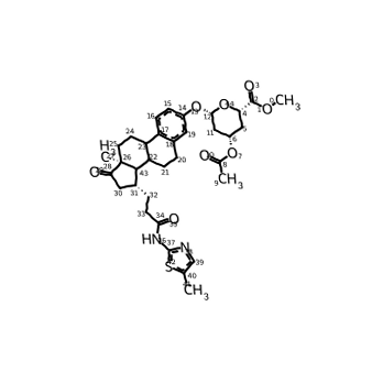 COC(=O)[C@@H]1C[C@H](OC(C)=O)C[C@H](Oc2ccc3c(c2)CCC2C3CC[C@]3(C)C(=O)C[C@@H](CCC(=O)Nc4ncc(C)s4)C23)O1